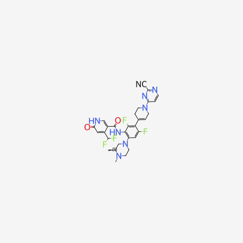 C[C@H]1CN(c2cc(F)c(C3=CCN(c4ccnc(C#N)n4)CC3)c(F)c2NC(=O)c2c[nH]c(=O)cc2C(F)F)CCN1C